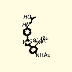 CC(=O)Nc1ccc(-c2cnc(-c3ccc(NCC(C)O)cc3)s2)c([S+]([O-])NC(C)(C)C)c1